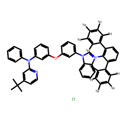 [2H]c1c([2H])c([2H])c(-c2cccc(-c3c([2H])c([2H])c([2H])c([2H])c3[2H])c2-[n+]2cn(-c3cccc(Oc4cccc(N(c5ccccc5)c5cc(C(C)(C)C)ccn5)c4)c3)c3ccccc32)c([2H])c1[2H].[Cl-]